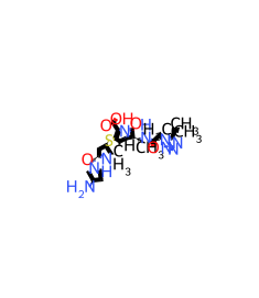 CC(NC(=O)Cn1nnnc1C(C)(C)C)[C@H]1C(=O)N2C(C(=O)O)=C(S[C@@H]3CN[C@H](C(=O)N4CC[C@@H](N)C4)C3)[C@H](C)[C@H]12